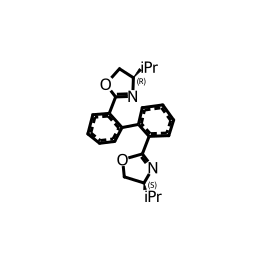 CC(C)[C@@H]1COC(c2ccccc2-c2ccccc2C2=N[C@@H](C(C)C)CO2)=N1